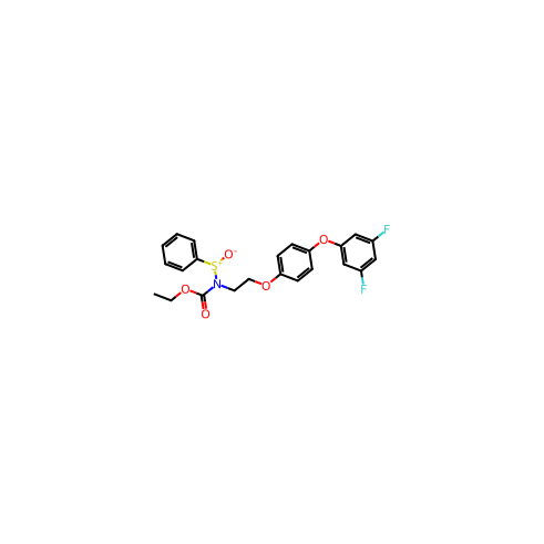 CCOC(=O)N(CCOc1ccc(Oc2cc(F)cc(F)c2)cc1)[S+]([O-])c1ccccc1